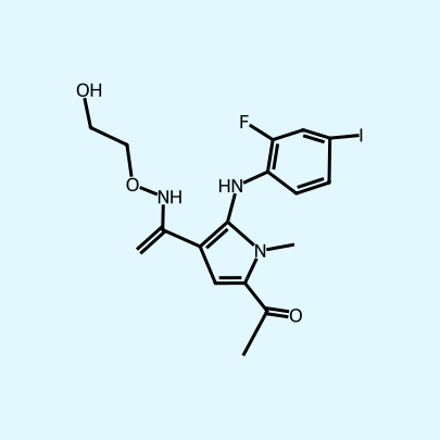 C=C(NOCCO)c1cc(C(C)=O)n(C)c1Nc1ccc(I)cc1F